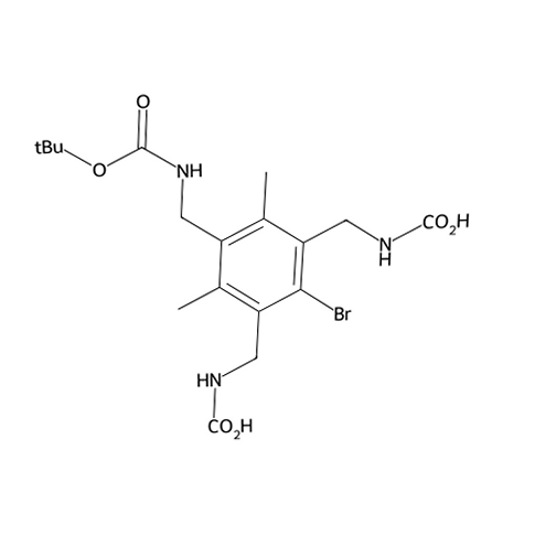 Cc1c(CNC(=O)OC(C)(C)C)c(C)c(CNC(=O)O)c(Br)c1CNC(=O)O